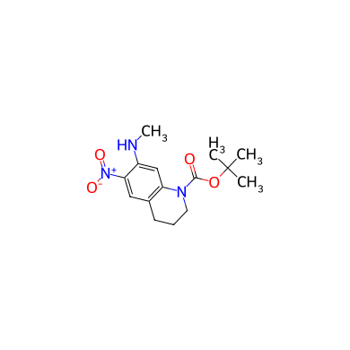 CNc1cc2c(cc1[N+](=O)[O-])CCCN2C(=O)OC(C)(C)C